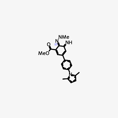 CN/N=C1\C(=N)C=C(c2ccc(-n3c(C)ccc3C)cc2)C=C1C(=O)OC